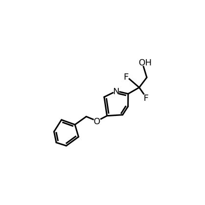 OCC(F)(F)c1ccc(OCc2ccccc2)cn1